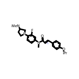 CNC1CCN(c2ccc(N(C)C(=O)/C=C/c3ccc(OC(C)C)cc3)cc2F)C1